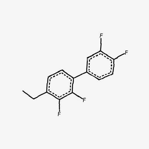 CCc1ccc(-c2ccc(F)c(F)c2)c(F)c1F